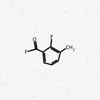 Cc1cccc(C(=O)F)c1F